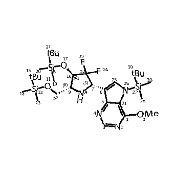 COc1ncnc2c([C@@H]3N[C@H](CO[Si](C)(C)C(C)(C)C)[C@@H](O[Si](C)(C)C(C)(C)C)C3(F)F)cn([Si](C)(C)C(C)(C)C)c12